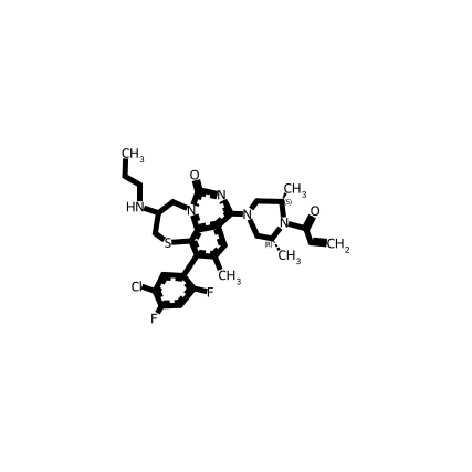 C=CC(=O)N1[C@H](C)CN(c2nc(=O)n3c4c(c(-c5cc(Cl)c(F)cc5F)c(C)cc24)SCC(NCCC)C3)C[C@@H]1C